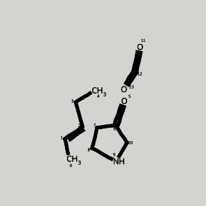 CC=CCC.O=C1CCNC1.O=C=O